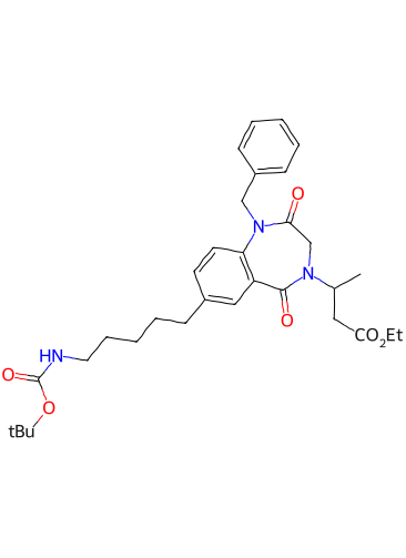 CCOC(=O)CC(C)N1CC(=O)N(Cc2ccccc2)c2ccc(CCCCCNC(=O)OC(C)(C)C)cc2C1=O